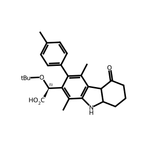 Cc1ccc(-c2c(C)c3c(c(C)c2[C@H](OC(C)(C)C)C(=O)O)NC2CCCC(=O)C32)cc1